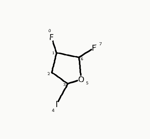 FC1CC(I)OC1F